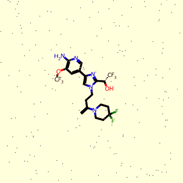 C=C(CCn1cc(-c2cnc(N)c(OC(F)(F)F)c2)nc1[C@@H](O)C(F)(F)F)N1CCC(F)(F)CC1